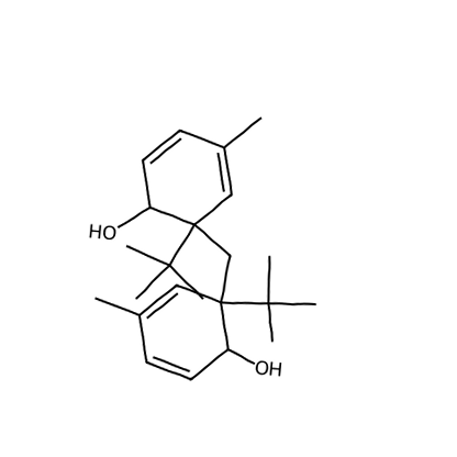 CC1=CC(CC2(C(C)(C)C)C=C(C)C=CC2O)(C(C)(C)C)C(O)C=C1